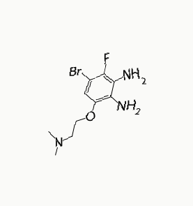 CN(C)CCOc1cc(Br)c(F)c(N)c1N